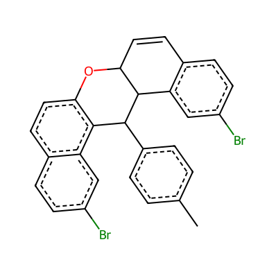 Cc1ccc(C2c3c(ccc4ccc(Br)cc34)OC3C=Cc4ccc(Br)cc4C32)cc1